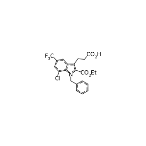 CCOC(=O)c1c(CCC(=O)O)c2cc(C(F)(F)F)cc(Cl)c2n1Cc1ccccc1